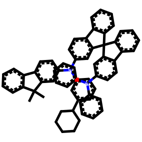 CC1(C)c2ccccc2-c2ccc(N(c3cccc(C4CCCCC4)c3)c3ccc4c(c3)C3(c5ccccc5-c5ccc(N(c6ccccc6)c6ccccc6)cc53)c3ccccc3-4)cc21